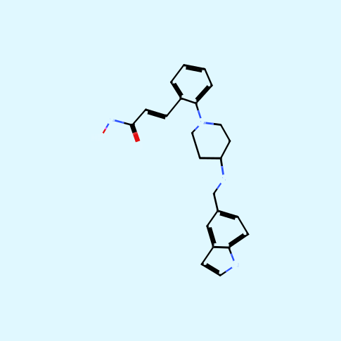 O=C(C=Cc1ccccc1N1CCC(NCc2ccc3[nH]ccc3c2)CC1)NO